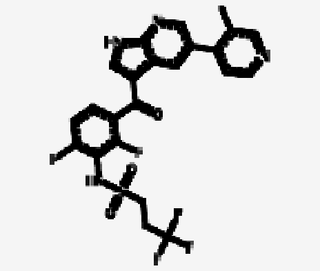 Cc1cnccc1-c1cnc2[nH]cc(C(=O)c3ccc(F)c(NS(=O)(=O)CCC(F)(F)F)c3F)c2c1